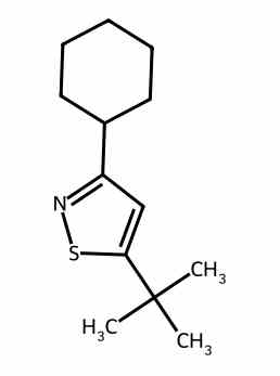 CC(C)(C)c1cc(C2CCCCC2)ns1